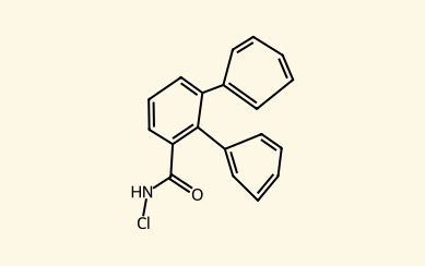 O=C(NCl)c1cccc(-c2ccccc2)c1-c1ccccc1